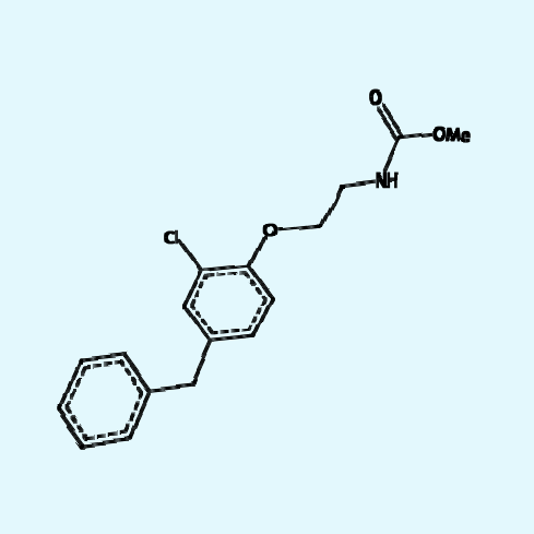 COC(=O)NCCOc1ccc(Cc2ccccc2)cc1Cl